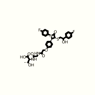 C[C@@H](O)[C@H](NC(=O)CNC(=O)COc1ccc([C@@H]2[C@@H](SCC(O)c3ccc(F)cc3)C(=O)N2c2ccc(F)cc2)cc1)C(=O)O